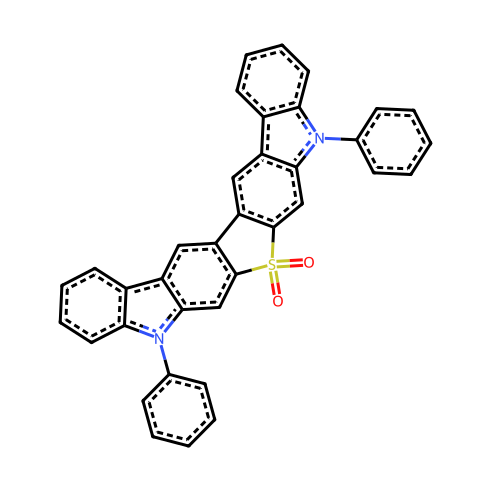 O=S1(=O)c2cc3c(cc2-c2cc4c5ccccc5n(-c5ccccc5)c4cc21)c1ccccc1n3-c1ccccc1